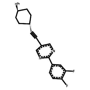 CCC[C@H]1CC[C@H](C#Cc2cnc(-c3ccc(F)c(F)c3)nc2)CC1